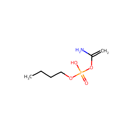 C=C(N)OP(=O)(O)OCCCC